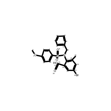 COc1ccc(S(=O)(=O)N(Cc2ccccc2)c2c(C)cc(Br)cc2C(=O)O)cc1